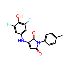 Cc1ccc(N2C(=O)C=C(Nc3cc(F)c(O)c(F)c3)C2=O)cc1